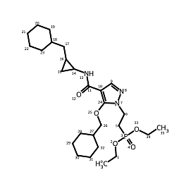 CCOP(=O)(CCn1ncc(C(=O)NC2CC2CC2CCCCC2)c1OCC1CCCCC1)OCC